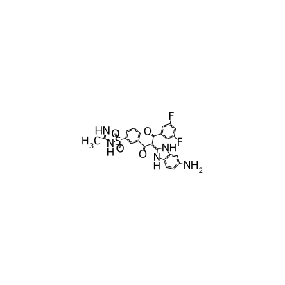 CC(=N)NS(=O)(=O)c1cccc(C(=O)C(C(=O)c2cc(F)cc(F)c2)=C2Nc3ccc(N)cc3N2)c1